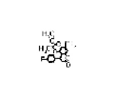 CCOC(=O)[C@@H](C)Oc1cc(C)cc2oc(=O)cc(-c3ccc(F)cc3)c12